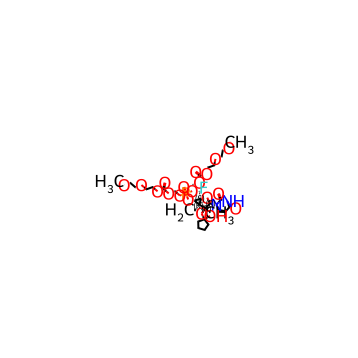 C=C[C@]12C(OP(=O)(OCOC(=O)OCCOCCOC)OCOC(=O)OCCOCCOC)[C@@]1(CF)O[C@@H](n1ccc(=O)[nH]c1=O)[C@]2(C)OC1(O)CCCC1